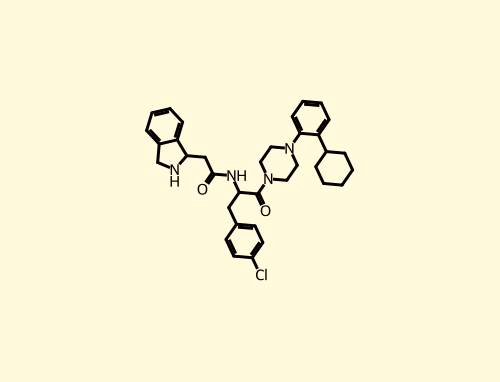 O=C(CC1NCc2ccccc21)NC(Cc1ccc(Cl)cc1)C(=O)N1CCN(c2ccccc2C2CCCCC2)CC1